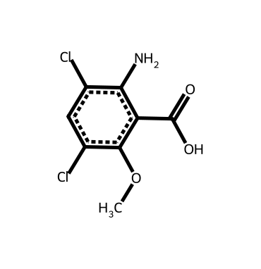 COc1c(Cl)cc(Cl)c(N)c1C(=O)O